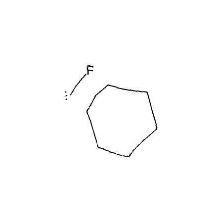 C1CCCCC1.[C]F